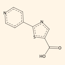 O=C(O)c1cnc(-c2ccncc2)s1